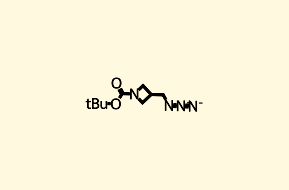 CC(C)(C)OC(=O)N1CC(CN=[N+]=[N-])C1